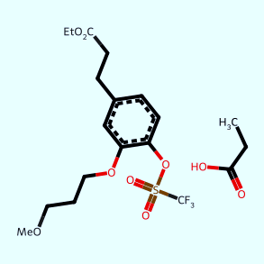 CCC(=O)O.CCOC(=O)CCc1ccc(OS(=O)(=O)C(F)(F)F)c(OCCCOC)c1